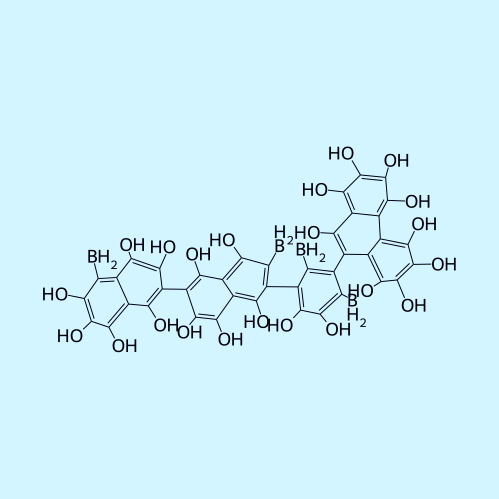 Bc1c(O)c(O)c(-c2c(B)c(O)c3c(O)c(-c4c(O)c(O)c5c(B)c(O)c(O)c(O)c5c4O)c(O)c(O)c3c2O)c(B)c1-c1c(O)c2c(O)c(O)c(O)c(O)c2c2c(O)c(O)c(O)c(O)c12